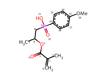 C=C(C)C(=O)OC(C)CP(=O)(O)c1ccc(OC)cc1